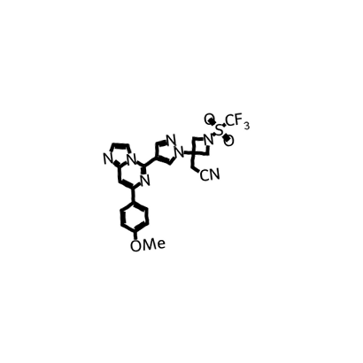 COc1ccc(-c2cc3nccn3c(-c3cnn(C4(CC#N)CN(S(=O)(=O)C(F)(F)F)C4)c3)n2)cc1